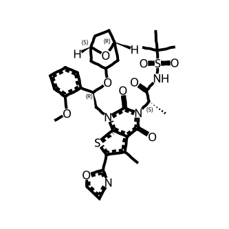 COc1ccccc1[C@H](Cn1c(=O)n([C@@H](C)C(=O)NS(=O)(=O)C(C)(C)C)c(=O)c2c(C)c(-c3ncco3)sc21)OC1C[C@H]2CC[C@@H](C1)O2